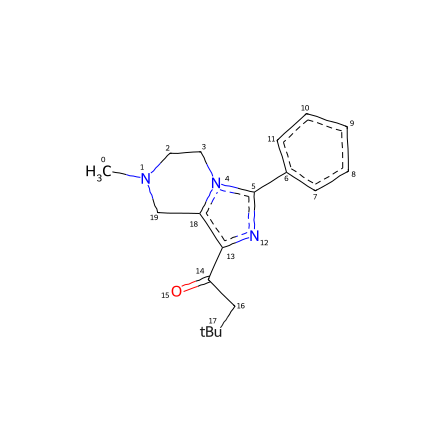 CN1CCn2c(-c3ccccc3)nc(C(=O)CC(C)(C)C)c2C1